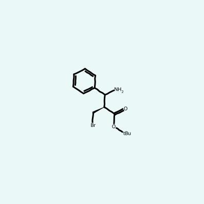 CC(C)(C)OC(=O)[C@@H](CBr)C(N)c1ccccc1